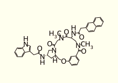 CN1C[C@H](NC(=O)Cc2ccc3ccccc3c2)C(=O)N(C)CC(=O)N2C[C@@H](NC(=O)Cc3c[nH]c4ccccc34)C[C@H]2COc2cccc(c2)C1=O